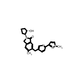 Cc1cc2c(cc1Cc1ccc(-c3ccn(C)n3)nc1)C(=O)N([C@H]1CCC[C@@H]1O)C2